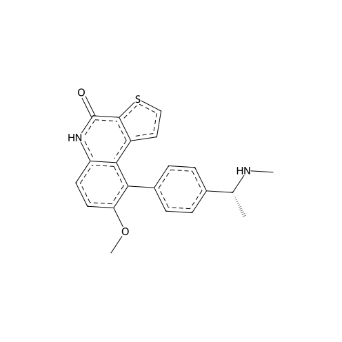 CN[C@H](C)c1ccc(-c2c(OC)ccc3[nH]c(=O)c4sccc4c23)cc1